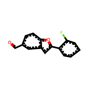 O=Cc1ccc2oc(-c3ccccc3F)cc2c1